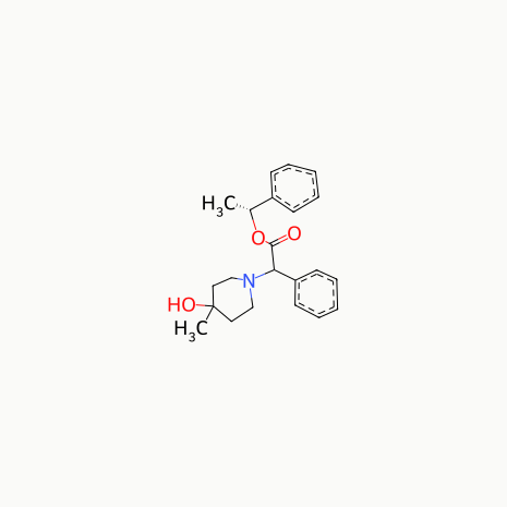 C[C@@H](OC(=O)C(c1ccccc1)N1CCC(C)(O)CC1)c1ccccc1